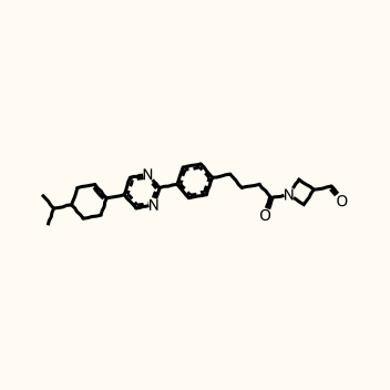 CC(C)C1CC=C(c2cnc(-c3ccc(CCCC(=O)N4CC(C=O)C4)cc3)nc2)CC1